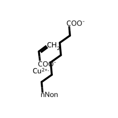 C=CC(=O)[O-].CCCCCCCCCCCCCCCC(=O)[O-].[Cu+2]